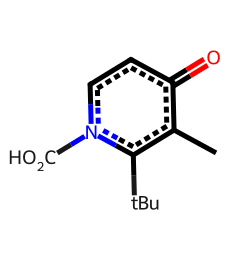 Cc1c(C(C)(C)C)n(C(=O)O)ccc1=O